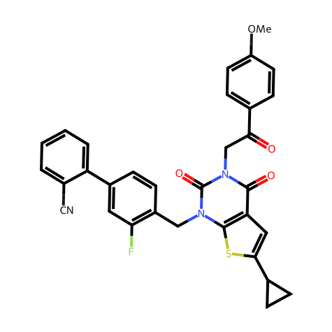 COc1ccc(C(=O)Cn2c(=O)c3cc(C4CC4)sc3n(Cc3ccc(-c4ccccc4C#N)cc3F)c2=O)cc1